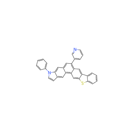 c1ccc(-n2ccc3cc4c(cc(-c5cccnc5)c5cc6c(cc54)sc4ccccc46)cc32)cc1